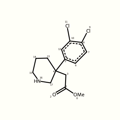 COC(=O)CC1(c2ccc(Cl)c(Cl)c2)CCCNC1